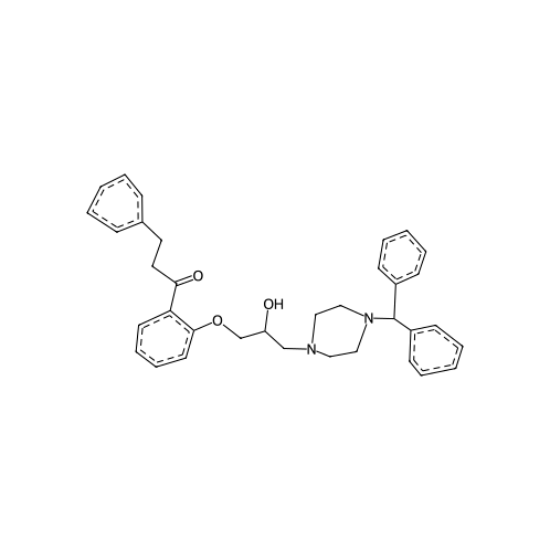 O=C(CCc1ccccc1)c1ccccc1OCC(O)CN1CCN(C(c2ccccc2)c2ccccc2)CC1